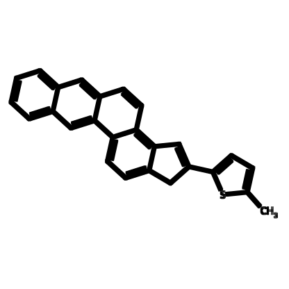 Cc1ccc(C2=Cc3c(ccc4c3ccc3cc5ccccc5cc34)C2)s1